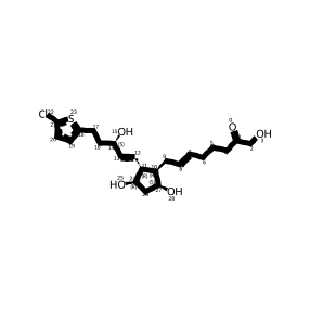 O=C(CO)CCCC=CC[C@@H]1[C@@H](C=C[C@@H](O)CCc2ccc(Cl)s2)[C@H](O)C[C@@H]1O